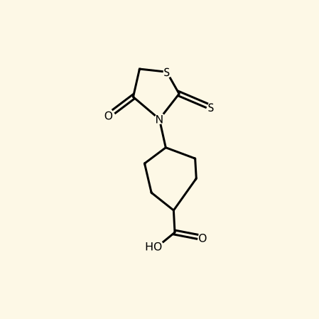 O=C(O)C1CCC(N2C(=O)CSC2=S)CC1